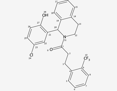 O=C(CCc1ccccc1C(F)(F)F)N1CCc2ccccc2C1c1cc(Cl)ccc1O